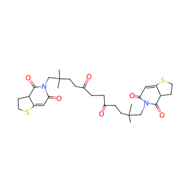 CC(C)(CCC(=O)CCC(=O)CCC(C)(C)CN1C(=O)C=C2SCCC2C1=O)CN1C(=O)C=C2SCCC2C1=O